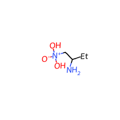 CCC(N)C[N+]([O-])(O)O